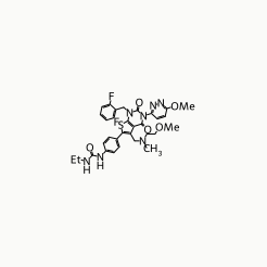 CCNC(=O)Nc1ccc(-c2sc3c(c2CN(C)CCOC)c(=O)n(-c2ccc(OC)nn2)c(=O)n3Cc2c(F)cccc2F)cc1